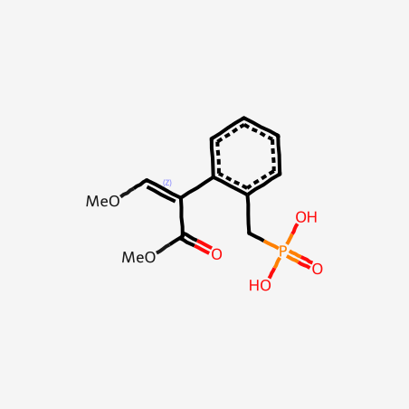 CO/C=C(\C(=O)OC)c1ccccc1CP(=O)(O)O